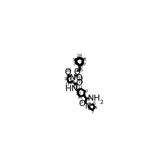 NC(C(=O)N1CCCC1)C1CCC(NC(=O)[C@H]2CCC(=O)N2C(=O)OCc2ccccc2)CC1